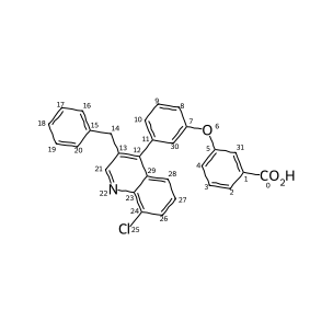 O=C(O)c1cccc(Oc2cccc(-c3c(Cc4ccccc4)cnc4c(Cl)cccc34)c2)c1